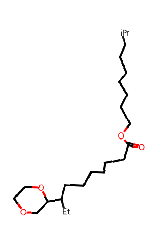 CCC(CCCCCCC(=O)OCCCCCCCC(C)C)C1COCCO1